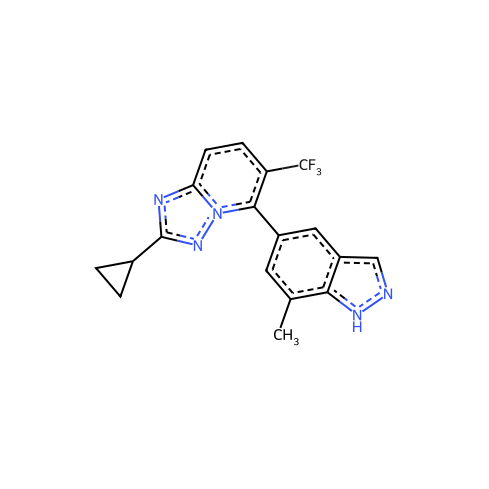 Cc1cc(-c2c(C(F)(F)F)ccc3nc(C4CC4)nn23)cc2cn[nH]c12